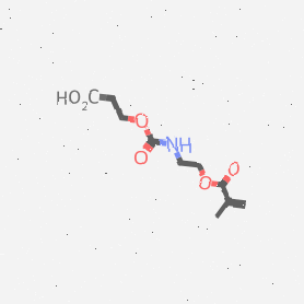 C=C(C)C(=O)OCCNC(=O)OCCC(=O)O